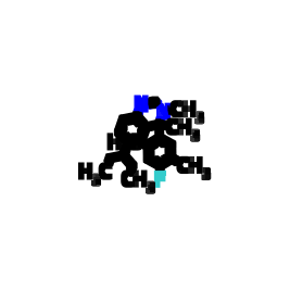 CCC(CC)c1ccc2c(c1)C(C)(c1cc(C)c(F)cc1C)N(C)C=N2